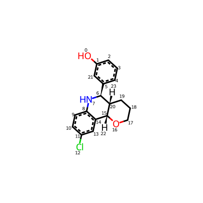 Oc1cccc([C@@H]2Nc3ccc(Cl)cc3[C@H]3OCCC[C@H]32)c1